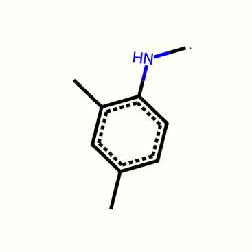 [CH2]Nc1ccc(C)cc1C